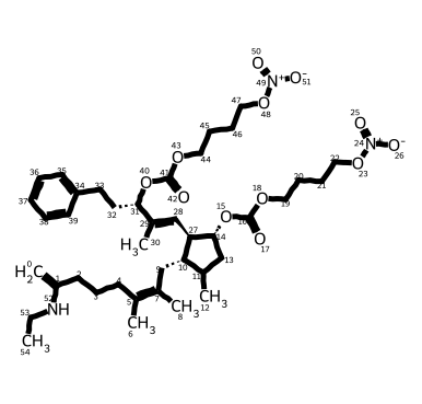 C=C(CCC/C(C)=C(/C)C[C@H]1C(C)C[C@@H](OC(=O)OCCCCO[N+](=O)[O-])[C@@H]1/C=C(\C)[C@H](CCc1ccccc1)OC(=O)OCCCCO[N+](=O)[O-])NCC